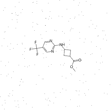 COC(=O)C1CC(Nc2ncc(C(F)(F)F)cn2)C1